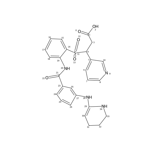 O=C(O)CC(c1cccnc1)S(=O)(=O)c1ccccc1NC(=O)c1cccc(NC2=CCCCN2)c1